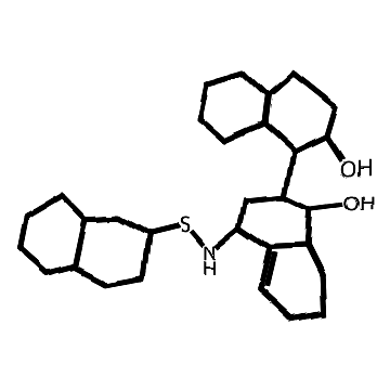 OC1CCC2CCCCC2C1C1CC(NSC2CCC3CCCCC3C2)C2=CCCCC2C1O